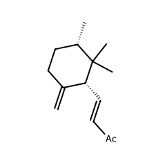 C=C1CC[C@H](C)C(C)(C)[C@@H]1/C=C/C(C)=O